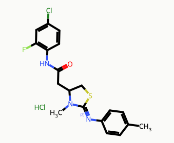 Cc1ccc(/N=C2\SCC(CC(=O)Nc3ccc(Cl)cc3F)N2C)cc1.Cl